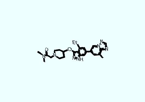 CCc1cc(-c2cc(C)c3ncnn3c2)cc2[nH]nc(OC3CCN(CC(=O)N(C)C)CC3)c12